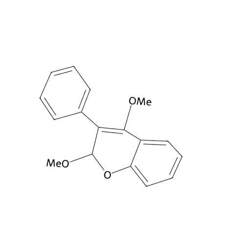 COC1=C(c2ccccc2)C(OC)Oc2ccccc21